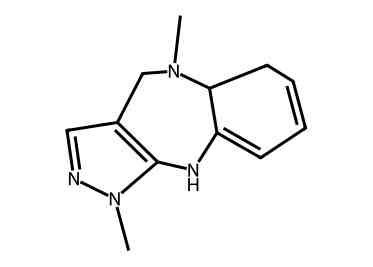 CN1Cc2cnn(C)c2NC2=CC=CCC21